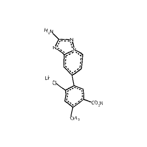 Cc1cc(Cl)c(-c2ccn3nc(N)nc3c2)cc1C(=O)O.[Li]